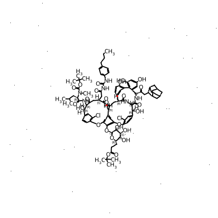 CCCCc1ccc(NC(=O)NC(=O)C[C@@H]2CC(=O)[C@H](NC(=O)[C@@H](CC(C)C)N(C)C(=O)OC(C)(C)C)[C@H](O)c3ccc(c(Cl)c3)Oc3cc4cc(c3O[C@@H]3O[C@H](CCC(=O)OC(C)(C)C)[C@@H](O)[C@H](O)[C@H]3O)Oc3ccc(cc3Cl)[C@@H](O)[C@@H]3NC(=O)[C@H](CC(=O)[C@@H]4NC2=O)c2ccc(O)c(c2)-c2c(O)cc(O)cc2[C@@H](C(=O)CC2C4CC5CC(C4)CC2C5)NC3=O)cc1